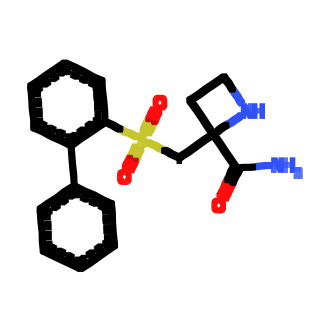 NC(=O)C1([CH]S(=O)(=O)c2ccccc2-c2ccccc2)CCN1